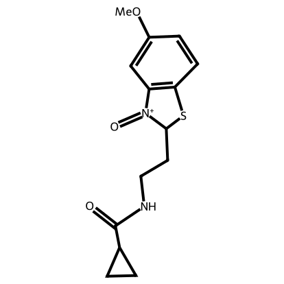 COc1ccc2c(c1)[N+](=O)C(CCNC(=O)C1CC1)S2